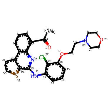 CNC(=O)c1cccc2c1nc(Nc1cccc(OCCN3CCOCC3)c1Cl)c1sccc12